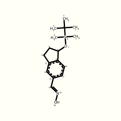 CC(C)(C)[Si](C)(C)OC1CCc2cc(/C=N/O)ccc21